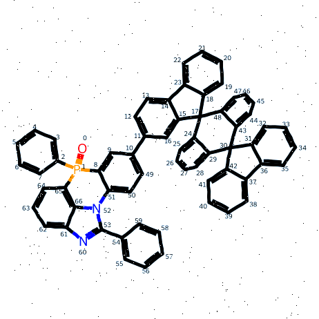 O=P1(c2ccccc2)c2cc(-c3ccc4c(c3)C3(c5ccccc5-4)c4ccccc4C4(c5ccccc5-c5ccccc54)c4ccccc43)ccc2-n2c(-c3ccccc3)nc3cccc1c32